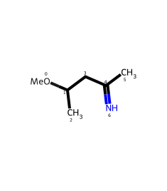 COC(C)CC(C)=N